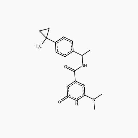 CC(NC(=O)c1cc(=O)[nH]c(N(C)C)n1)c1ccc(C2(C(F)(F)F)CC2)cc1